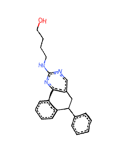 OCCCCNc1ncc2c(n1)-c1ccccc1C(c1ccccc1)C2